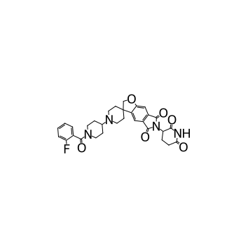 O=C1CCC(N2C(=O)c3cc4c(cc3C2=O)C2(CCN(C3CCN(C(=O)c5ccccc5F)CC3)CC2)CO4)C(=O)N1